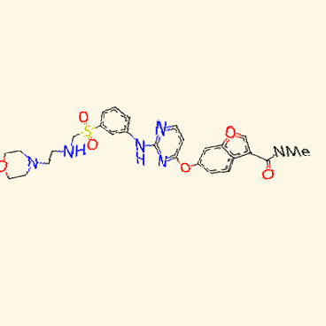 CNC(=O)c1coc2cc(Oc3ccnc(Nc4cccc(S(=O)(=O)CNCCN5CCOCC5)c4)n3)ccc12